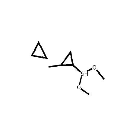 C1CC1.CO[SiH](OC)C1CC1C